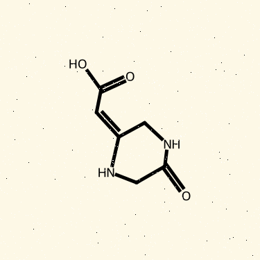 O=C(O)C=C1CNC(=O)CN1